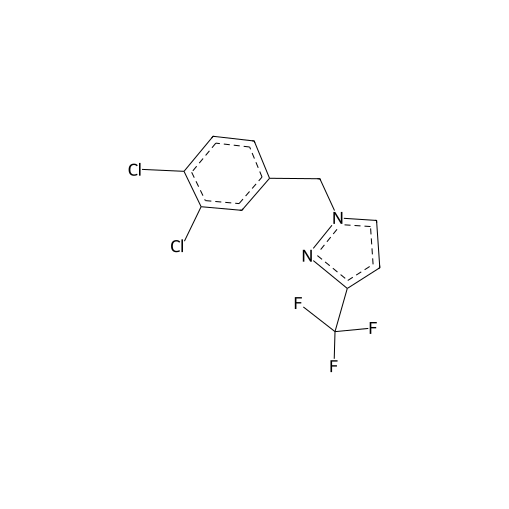 FC(F)(F)c1ccn(Cc2ccc(Cl)c(Cl)c2)n1